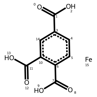 O=C(O)c1ccc(C(=O)O)c(C(=O)O)c1.[Fe]